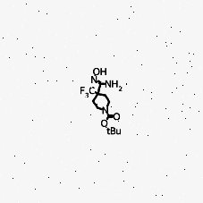 CC(C)(C)OC(=O)N1CCC(/C(N)=N/O)(C(F)(F)F)CC1